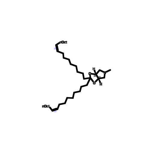 CCCCCCCC/C=C\CCCCCCCCC1(CCCCCCCC/C=C\CCCCCCCC)O[C@H]2CN(C)C[C@H]2O1